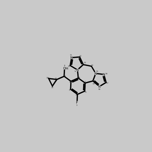 OC(c1cc(F)cc2c1-n1cncc1Cn1ncnc1-2)C1CC1